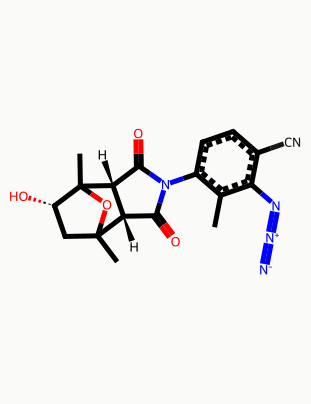 Cc1c(N2C(=O)[C@@H]3[C@H](C2=O)C2(C)C[C@H](O)C3(C)O2)ccc(C#N)c1N=[N+]=[N-]